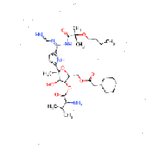 CCCCOC(C)(C)C(=O)N/C(=N/C=N)c1ccc([C@]2(C)O[C@H](COC(=O)CC3CCCCC3)[C@@H](OC(=O)[C@@H](N)C(C)C)[C@H]2O)[nH]1